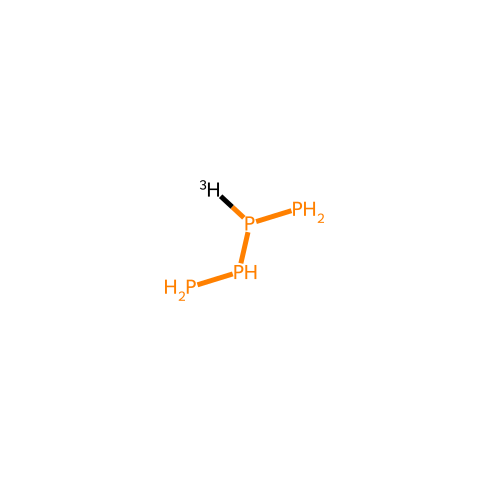 [3H]P(P)PP